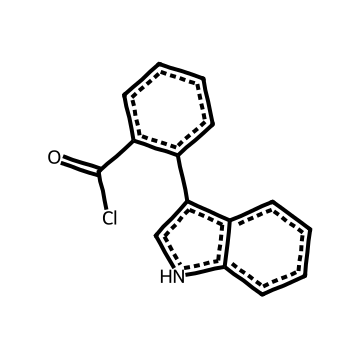 O=C(Cl)c1ccccc1-c1c[nH]c2ccccc12